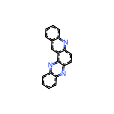 c1ccc2nc3ccc4nc5ccccc5nc4c3cc2c1